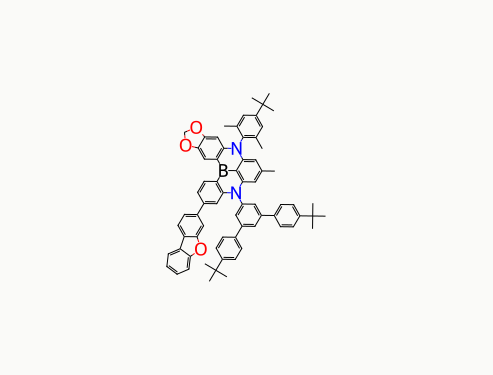 Cc1cc2c3c(c1)N(c1c(C)cc(C(C)(C)C)cc1C)c1cc4c(cc1B3c1ccc(-c3ccc5c(c3)oc3ccccc35)cc1N2c1cc(-c2ccc(C(C)(C)C)cc2)cc(-c2ccc(C(C)(C)C)cc2)c1)OCO4